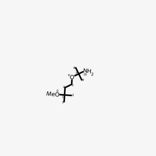 COC(C)(C)CCOC(C)(C)N